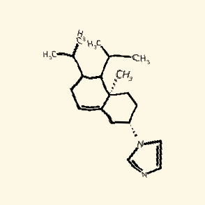 CC(C)C1CC=C2C[C@@H](n3ccnc3)CC[C@]2(C)C1C(C)C